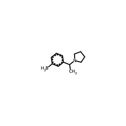 Bc1cccc(C(C)N2CCCC2)c1